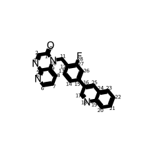 O=c1cnc2ncccc2n1Cc1ccc(-c2cnc3ccccc3c2)cc1F